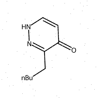 CCCCCc1n[nH]ccc1=O